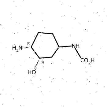 N[C@@H]1CCC(NC(=O)O)C[C@@H]1O